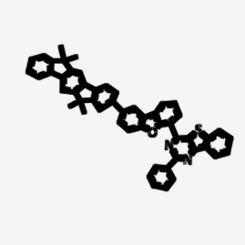 CC1(C)c2ccccc2-c2cc3c(cc21)-c1ccc(-c2ccc4oc5c(-c6nc(-c7ccccc7)nc7c6sc6ccccc67)cccc5c4c2)cc1C3(C)C